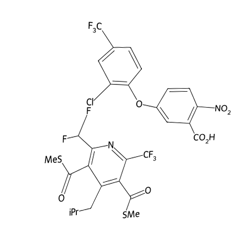 CSC(=O)c1c(C(F)F)nc(C(F)(F)F)c(C(=O)SC)c1CC(C)C.O=C(O)c1cc(Oc2ccc(C(F)(F)F)cc2Cl)ccc1[N+](=O)[O-]